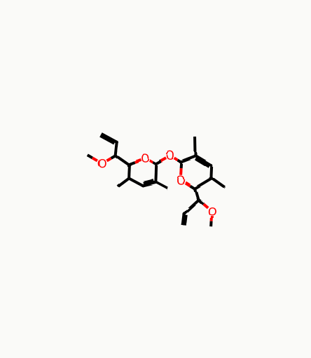 C=CC(OC)C1OC(OC2OC(C(C=C)OC)C(C)C=C2C)C(C)=CC1C